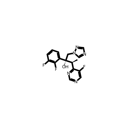 C[C@@H](c1ncncc1F)[C@](O)(Cn1cncn1)c1cccc(F)c1F